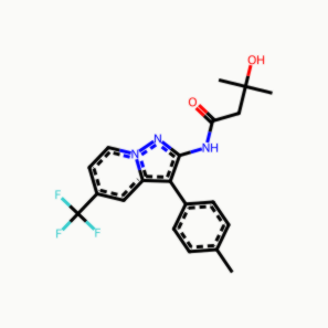 Cc1ccc(-c2c(NC(=O)CC(C)(C)O)nn3ccc(C(F)(F)F)cc23)cc1